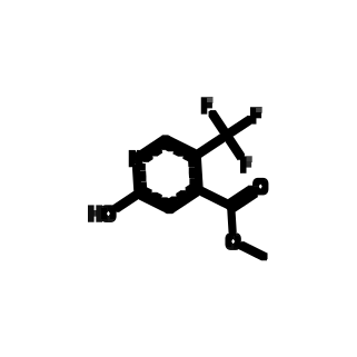 COC(=O)c1cc(O)ncc1C(F)(F)F